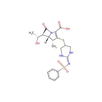 C[C@@H](O)[C@H]1C(=O)N2C(C(=O)O)=C(SC3CNC(=NS(=O)(=O)c4ccccc4)NC3)[C@H](C)[C@H]12